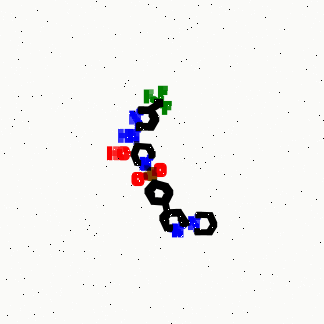 O=S(=O)(c1ccc(-c2ccnc(N3CCCCC3)c2)cc1)N1CC[C@@H](Nc2ccc(C(F)(F)F)cn2)[C@@H](O)C1